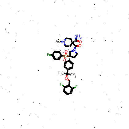 CC(=O)N1CCC(C(N)=O)(C(=O)N2CC[C@](c3ccc(C(OCc4c(F)cccc4F)(C(F)(F)F)C(F)(F)F)cc3)(S(=O)(=O)c3ccc(F)cc3)C2)CC1